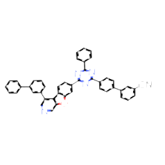 N#Cc1cccc(-c2ccc(-c3nc(-c4ccccc4)nc(-c4ccc5c(c4)oc4cncc(-c6cccc(-c7ccccc7)c6)c45)n3)cc2)c1